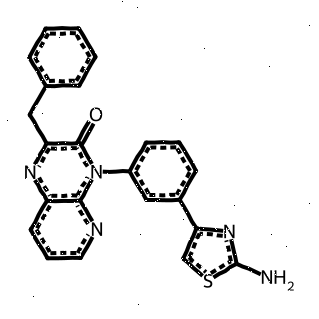 Nc1nc(-c2cccc(-n3c(=O)c(Cc4ccccc4)nc4cccnc43)c2)cs1